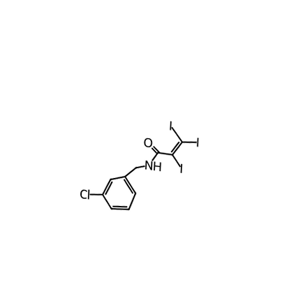 O=C(NCc1cccc(Cl)c1)C(I)=C(I)I